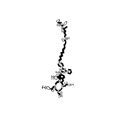 CC(CCCCNC(=O)CCCCCCCCCCN1CCN(c2nc(Nc3ccc(CC4CN(CC(=O)O)CCN(CC(=O)O)CCN(CC(=O)O)CCN4CC(=O)O)cc3)nc(N3CCCCC3)n2)CC1)NC(=O)NCC=O